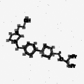 CCCC(CCC)OCc1ccc(-c2ccc(CN3CCN(CCO)C3)cc2)cc1